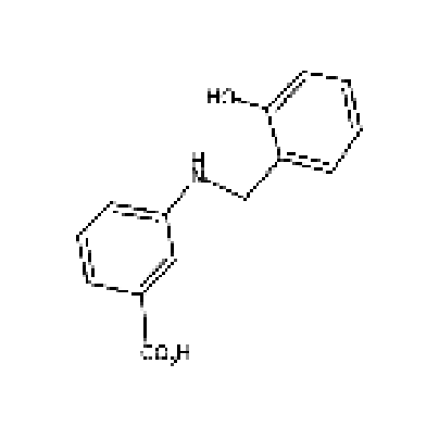 O=C(O)c1cccc(NCc2ccccc2O)c1